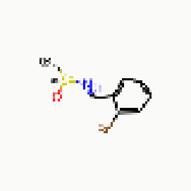 CC(C)(C)[S@+]([O-])/N=C/c1ccccc1Br